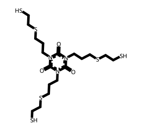 O=c1n(CCCSCCS)c(=O)n(CCCSCCS)c(=O)n1CCCSCCS